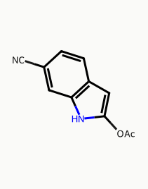 CC(=O)Oc1cc2ccc(C#N)cc2[nH]1